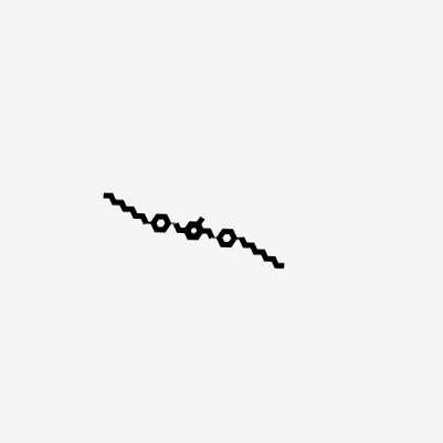 CCCCCCCCC[C@H]1CC[C@H](CCc2ccc(CC[C@H]3CC[C@H](CCCCCCCCC)CC3)c(C)c2)CC1